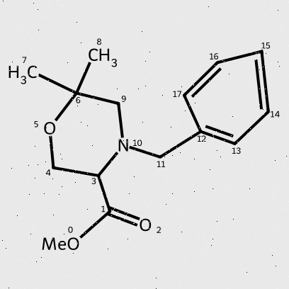 COC(=O)C1COC(C)(C)CN1Cc1ccccc1